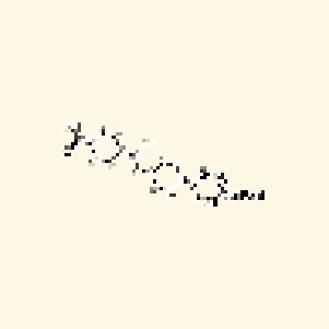 CCCCCc1ncc(C2CCC(CC(F)C3CCC(C(=O)CC)CC3)CC2)cn1